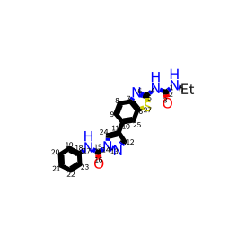 CCNC(=O)Nc1nc2ccc(-c3cnn(C(=O)Nc4ccccc4)c3)cc2s1